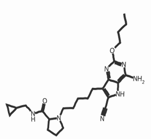 CCCCOc1nc(N)c2[nH]c(C#N)c(CCCCCN3CCCC3C(=O)NCC3CC3)c2n1